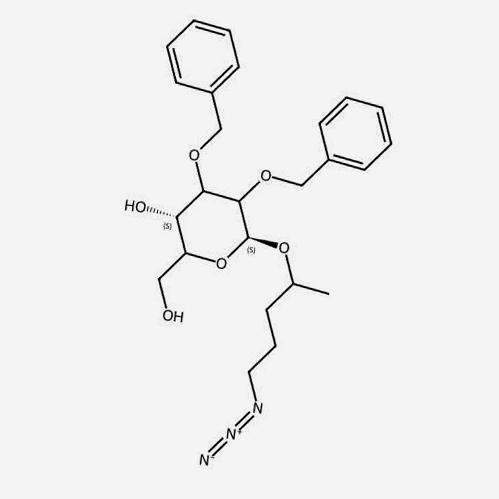 CC(CCCN=[N+]=[N-])O[C@H]1OC(CO)[C@H](O)C(OCc2ccccc2)C1OCc1ccccc1